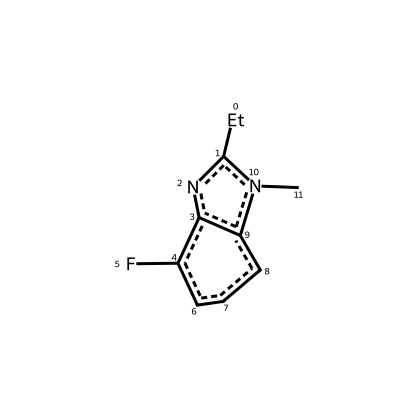 CCc1nc2c(F)cccc2n1C